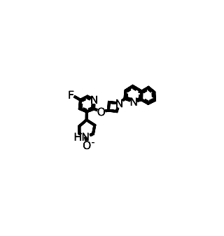 [O-][NH+]1CCC(c2cc(F)cnc2OC2CN(c3ccc4ccccc4n3)C2)CC1